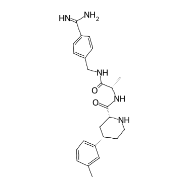 Cc1cccc([C@H]2CCN[C@@H](C(=O)N[C@@H](C)C(=O)NCc3ccc(C(=N)N)cc3)C2)c1